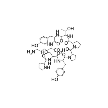 CC(O)C(NC(=O)C1CCCN1C(=O)C1CCCN1C(=O)C(Cc1ccc(O)cc1)NC(=O)C(CO)NC(=O)C1CCCN1)C(=O)NC(Cc1ccc(O)cc1)C(=O)NC(CCCCN)C(=O)O